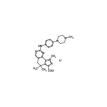 CN1CCN(c2ccc(Nc3ncc4c(n3)-c3c(c(C(=O)[O-])nn3C)C(C)(C)C4)cc2)CC1.[K+]